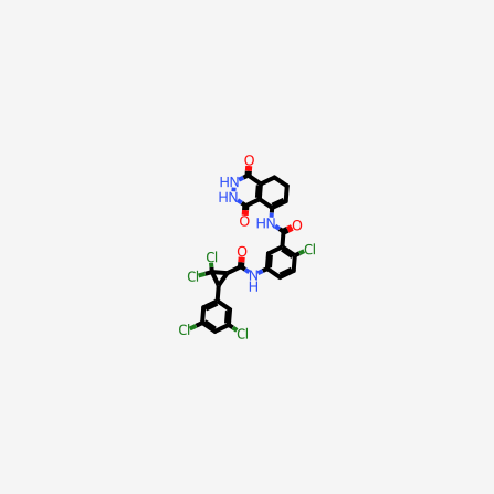 O=C(NC1=CCCc2c1c(=O)[nH][nH]c2=O)c1cc(NC(=O)C2C(c3cc(Cl)cc(Cl)c3)C2(Cl)Cl)ccc1Cl